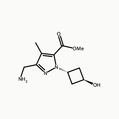 COC(=O)c1c(C)c(CN)nn1[C@H]1C[C@H](O)C1